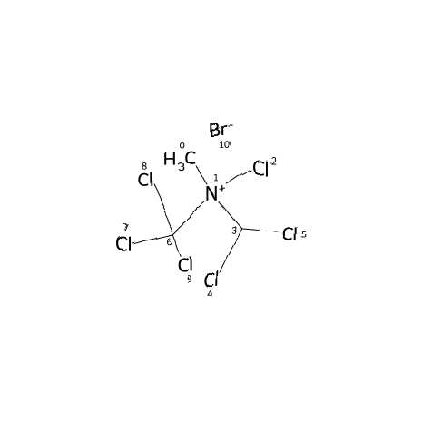 C[N+](Cl)(C(Cl)Cl)C(Cl)(Cl)Cl.[Br-]